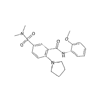 COc1ccccc1NC(=O)c1cc(S(=O)(=O)N(C)C)ccc1N1CCCC1